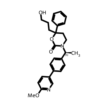 COc1ccc(-c2ccc([C@H](C)N3CCC(CCCO)(c4ccccc4)OC3=O)cc2)cn1